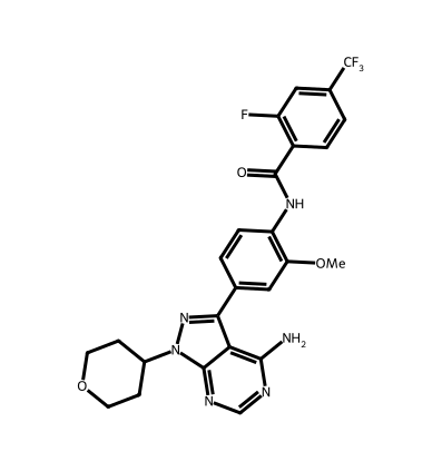 COc1cc(-c2nn(C3CCOCC3)c3ncnc(N)c23)ccc1NC(=O)c1ccc(C(F)(F)F)cc1F